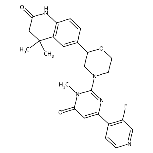 Cn1c(N2CCOC(c3ccc4c(c3)C(C)(C)CC(=O)N4)C2)nc(-c2ccncc2F)cc1=O